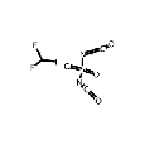 FC(F)F.O=C=NS(=O)(=O)N=C=O